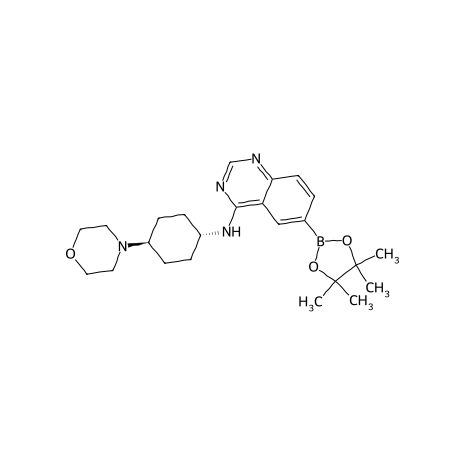 CC1(C)OB(c2ccc3ncnc(N[C@H]4CC[C@H](N5CCOCC5)CC4)c3c2)OC1(C)C